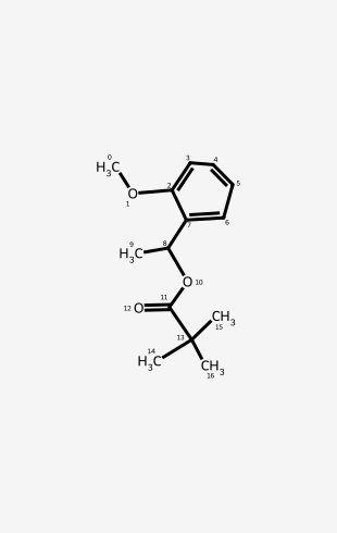 COc1ccccc1C(C)OC(=O)C(C)(C)C